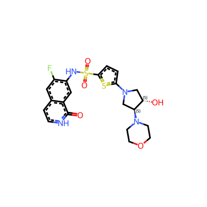 O=c1[nH]ccc2cc(F)c(NS(=O)(=O)c3ccc(N4C[C@H](O)[C@@H](N5CCOCC5)C4)s3)cc12